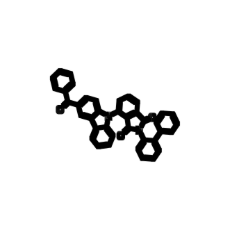 O=C(c1ccccc1)c1ccc2c(c1)c1ccccc1n2-c1cccc2c1C(=O)N(c1ccccc1-c1ccccc1)C2=O